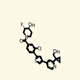 O=C(c1ccc(-c2cc(-c3ccnc(C4(CO)CC4)c3)cs2)c(Cl)c1)N1CC[C@H](O)[C@@H](F)C1